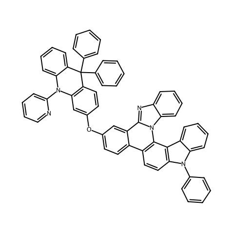 c1ccc(-n2c3ccccc3c3c2ccc2c4ccc(Oc5ccc6c(c5)N(c5ccccn5)c5ccccc5C6(c5ccccc5)c5ccccc5)cc4c4nc5ccccc5n4c23)cc1